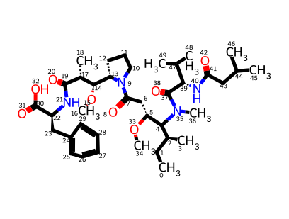 CC[C@H](C)C([C@@H](CC(=O)N1CCC[C@H]1[C@H](OC)[C@@H](C)C(=O)N[C@@H](Cc1ccccc1)C(=O)O)OC)N(C)C(=O)[C@@H](NC(=O)CC(C)C)C(C)C